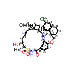 CO[C@H]1/C=C/C[C@@H](O)[C@H](C)S(=O)(=O)NC(=O)c2ccc3c(c2)N(C[C@@H]2CC[C@H]21)C[C@@]1(CCCc2cc(Cl)ccc21)CO3